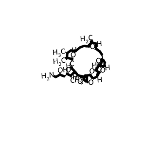 C=C1C[C@@H]2CC[C@@]34C[C@@H]5OC6[C@@H](OC7CCC(CC(=O)C[C@@H]8[C@@H](C)[C@@H](C[C@H](O)CN)O[C@H]8CC8O[C@@H](CCC1O2)C[C@@H](C)C8=C)OC7[C@@H]6O3)C5O4